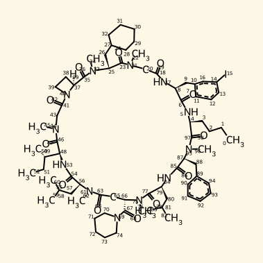 CCCC[C@@H]1NC(=O)[C@H](Cc2cccc(I)c2)NC(=O)CN(C)C(=O)[C@H](CC2CCCCC2)N(C)C(=O)[C@@H]2CCN2C(=O)CN(C)C(=O)[C@H]([C@@H](C)CC)NC(=O)[C@H](CC(C)C)N(C)C(=O)C[C@@H](C(=O)N2CCCCC2)N(C)C(=O)[C@H](CC(C)C)NC(=O)[C@H](Cc2ccccc2)N(C)C1=O